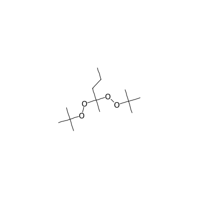 CCCC(C)(OOC(C)(C)C)OOC(C)(C)C